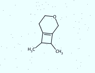 CC1C2=C(COCC2)C1C